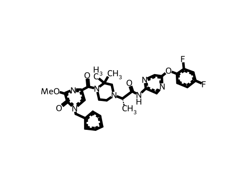 COc1nc(C(=O)N2CCN([C@@H](C)C(=O)Nc3cnc(Oc4ccc(F)cc4F)cn3)CC2(C)C)cn(Cc2ccccc2)c1=O